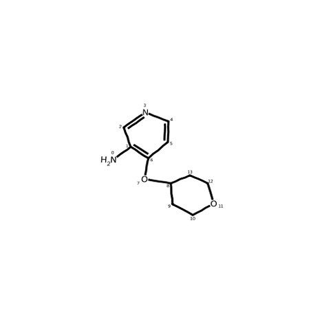 Nc1[c]nccc1OC1CCOCC1